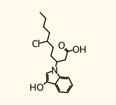 CCCCC(Cl)CCC(CC(=O)O)n1cc(O)c2ccccc21